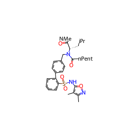 CCCCCC(=O)N(Cc1ccc(-c2ccccc2S(=O)(=O)Nc2onc(C)c2C)cc1)[C@@H](CC(C)C)C(=O)NC